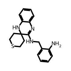 Nc1ccccc1CNC1=Nc2ccccc2NC12CCSCC2